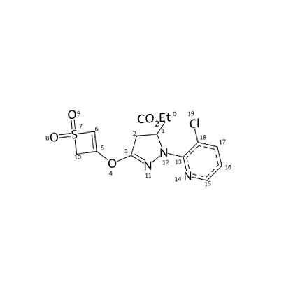 CCOC(=O)C1CC(OC2=CS(=O)(=O)C2)=NN1c1ncccc1Cl